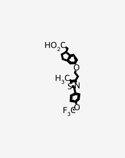 Cc1sc(-c2ccc(OC(F)(F)F)cc2)nc1CCOc1ccc2c(c1)CCC2CC(=O)O